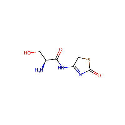 N[C@@H](CO)C(=O)NC1=NC(=O)SC1